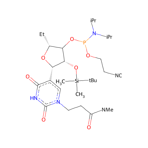 [C-]#[N+]CCOP(OC1[C@@H](CC)O[C@@H](c2cn(CCC(=O)NC)c(=O)[nH]c2=O)[C@H]1O[Si](C)(C)C(C)(C)C)N(C(C)C)C(C)C